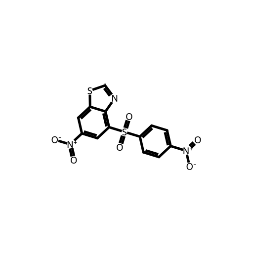 O=[N+]([O-])c1ccc(S(=O)(=O)c2cc([N+](=O)[O-])cc3s[c]nc23)cc1